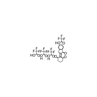 O=C(O)C(F)(F)F.O=C(O)C(F)(F)F.O=C(O)C(F)(F)F.O=C(O)C(F)(F)F.O=C1c2ccccc2CN1N1C(=O)CCCC1=O